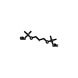 CC(C)(C)[Si](C)(C)OC[CH]CO[Si](C)(C)C(C)(C)C